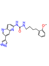 COc1ccccc1CCCCNC(=O)Nc1ccc2ncc(-c3cn[nH]c3)cc2n1